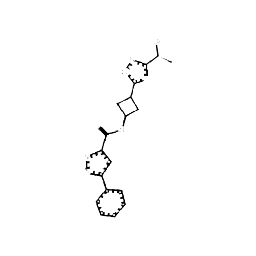 C[C@H](Br)c1nnc(C2CC(NC(=O)c3cc(-c4ccccc4)on3)C2)o1